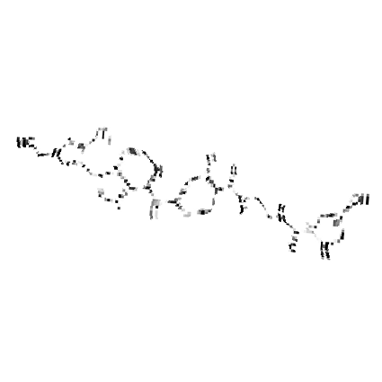 N#CCn1cc(-c2cnc3c(Nc4ccc(C(=O)NCCNC(=O)[C@@H]5C[C@@H](O)CN5)c(Cl)c4)nccn23)c(C(F)(F)F)n1